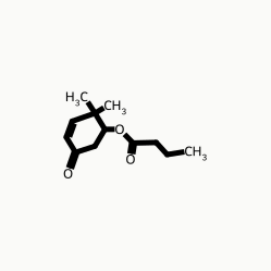 CCCC(=O)OC1CC(=O)C=CC1(C)C